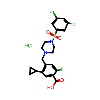 Cl.O=C(O)c1cc(C2CC2)c(CN2CCN(S(=O)(=O)c3cc(Cl)cc(Cl)c3)CC2)cc1F